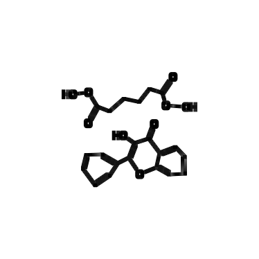 O=C(CCCCC(=O)OO)OO.O=c1c(O)c(-c2ccccc2)oc2ccccc12